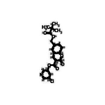 CC(C)(C)C(=O)OCc1ccc2oc(=O)c(C(=O)Oc3cncc(Cl)c3)cc2c1